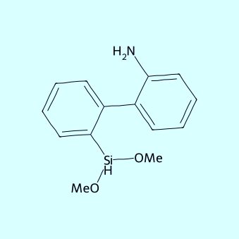 CO[SiH](OC)c1ccccc1-c1ccccc1N